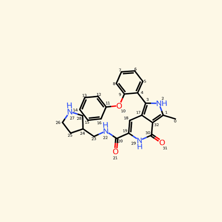 Cc1[nH]c(-c2ccccc2Oc2ccccc2)c2cc(C(=O)NCC3CCNC3)[nH]c(=O)c12